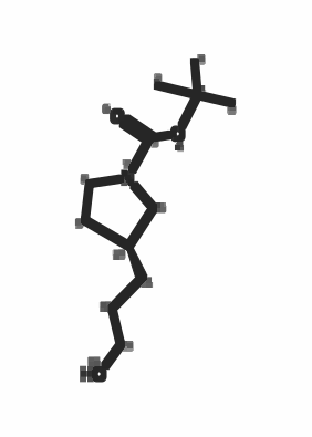 CC(C)(C)OC(=O)N1CC[C@H](CCCO)C1